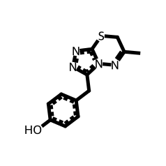 CC1=Nn2c(Cc3ccc(O)cc3)nnc2SC1